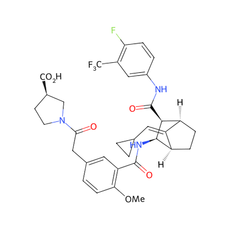 COc1ccc(CC(=O)N2CC[C@@H](C(=O)O)C2)cc1C(=O)N[C@H]1[C@@H](C(=O)Nc2ccc(F)c(C(F)(F)F)c2)[C@H]2CC[C@@H]1/C2=C\C1CC1